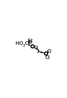 CCOC(Cc1ccc(OC/C=C(\C)C#Cc2cc(Cl)cc(Cl)c2)cc1)C(=O)O